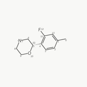 Cc1ccc([C@H]2C[N]CCO2)c(F)c1